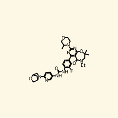 CCN1CC(C)(C)Oc2nc(N3CCOCC3C)nc(-c3ccc(NC(=O)Nc4ccc(N5CC6CC5CO6)nc4)c(F)c3)c2C1=O